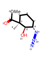 COC(=O)[C@@]1(C)CCC[C@H](N=[N+]=[N-])[C@H]1O